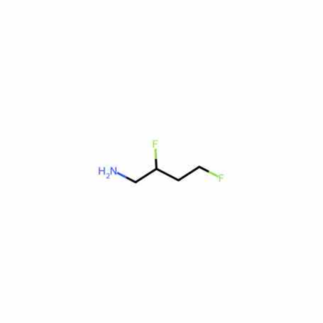 NCC(F)CCF